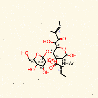 C/C=C(\C)C(=O)C(O)[C@H]1OC(O)[C@H](NC(C)=O)[C@](O)(C(=O)/C(C)=C/C)[C@@H]1O[C@@H]1O[C@H](CO)[C@H](O)[C@H](O)[C@H]1O